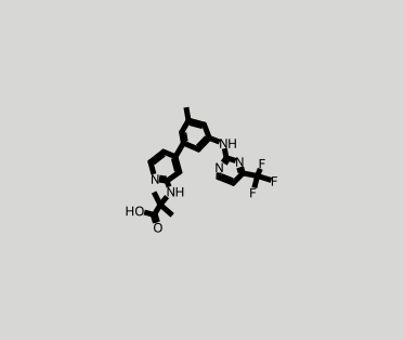 Cc1cc(Nc2nccc(C(F)(F)F)n2)cc(-c2ccnc(NC(C)(C)C(=O)O)c2)c1